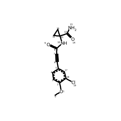 COc1ccc(C#CC(=O)NC2(C(N)=O)CC2)cc1Cl